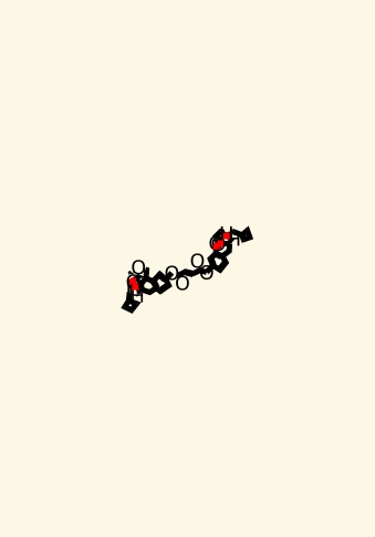 O=C(/C=C/C(=O)Oc1ccc2c(c1)[C@]13CCN(CC4CCC4)[C@H](C2)[C@@H]1OCOC3)Oc1ccc2c(c1)[C@]13CCN(CC4CCC4)[C@H](C2)[C@@H]1OCOC3